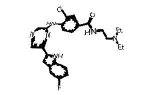 CCN(CC)CCNC(=O)c1ccc(Nc2cncc(-c3cc4cc(F)ccc4[nH]3)n2)c(Cl)c1